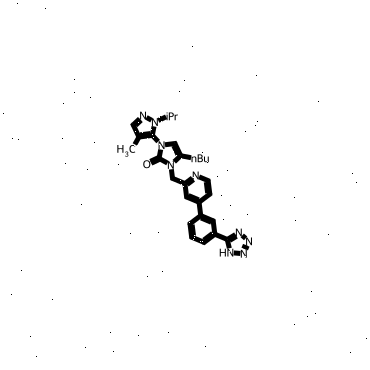 CCCCc1cn(-c2c(C)cnn2C(C)C)c(=O)n1Cc1cc(-c2cccc(-c3nnn[nH]3)c2)ccn1